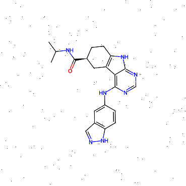 CC(C)NC(=O)[C@H]1CCc2[nH]c3ncnc(Nc4ccc5[nH]ncc5c4)c3c2C1